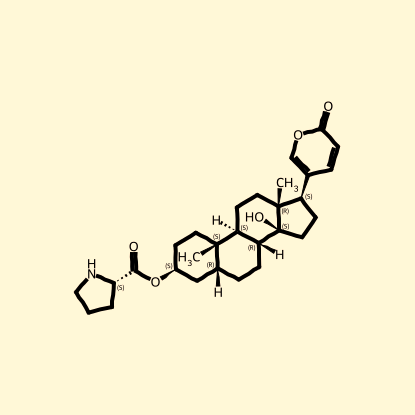 C[C@]12CC[C@H](OC(=O)[C@@H]3CCCN3)C[C@H]1CC[C@@H]1[C@@H]2CC[C@]2(C)[C@@H](c3ccc(=O)oc3)CC[C@]12O